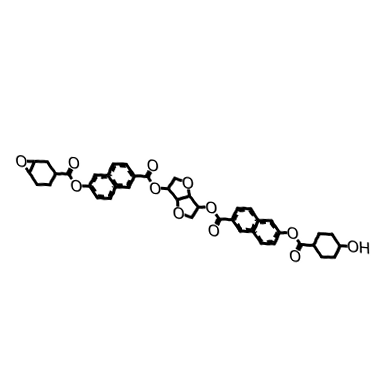 O=C(OC1COC2C(OC(=O)c3ccc4cc(OC(=O)C5CCC6OC6C5)ccc4c3)COC12)c1ccc2cc(OC(=O)C3CCC(O)CC3)ccc2c1